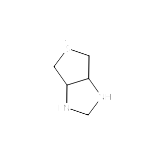 C1NC2CSCC2N1